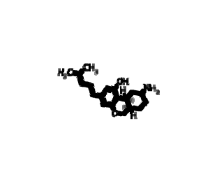 CC(C)CCCc1cc(O)c2c(c1)OC[C@H]1CCC(N)C[C@@H]21